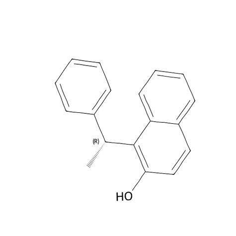 C[C@H](c1ccccc1)c1c(O)ccc2ccccc12